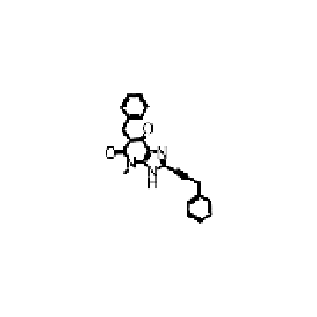 CN1C(=O)C(Cc2ccccc2)C(=O)c2nc(C#CCc3ccccc3)[nH]c21